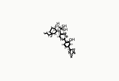 CCC[C@]1(C)CC[C@H](F)[C@H](N(c2cnc(-c3ccc(-c4nnn(C)n4)cc3O)nn2)C(S)(S)S)C1